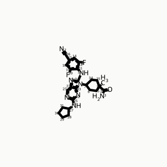 CC1(C(N)=O)CCC(n2c(Nc3c(F)cc(C#N)cc3F)nc3cnc(NC4CCCC4)nc32)CC1